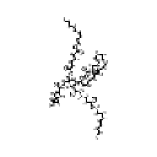 CCCCC/C=C\CCOC(=O)CCCCC(=O)OCC(COC(=O)CCCCC(=O)OCC/C=C\CCCCC)(COC(=O)CCC(CCCCCC)OC(=O)NCCN1CCCC1)COC(=O)C1CC2(C1)CC2(F)F